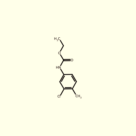 CCOC(=O)Nc1ccc(C)c(Cl)c1